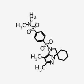 Cc1nn2c(c1C)N(S(=O)(=O)c1ccc(S(=O)(=O)N(C)C)cc1)CC21CCCCC1